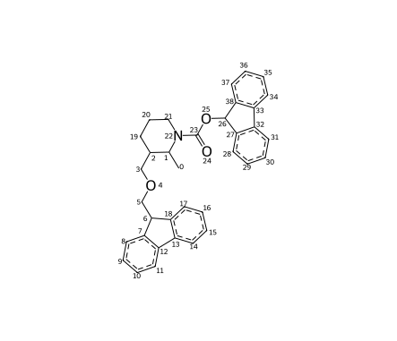 CC1C(COCC2c3ccccc3-c3ccccc32)CCCN1C(=O)OC1c2ccccc2-c2ccccc21